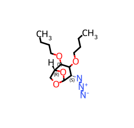 CCCCOC1[C@H](N=[N+]=[N-])C2OC[C@@H](O2)[C@H]1OCCCC